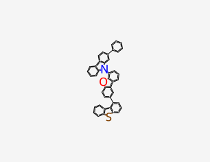 c1ccc(-c2ccc3c4ccccc4n(-c4cccc5c4oc4ccc(-c6cccc7sc8ccccc8c67)cc45)c3c2)cc1